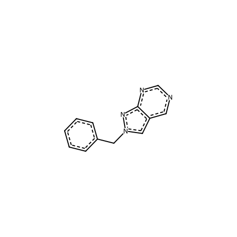 c1ccc(Cn2cc3cncnc3n2)cc1